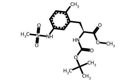 COC(=O)[C@H](Cc1cc(NS(C)(=O)=O)ccc1C)NC(=O)OC(C)(C)C